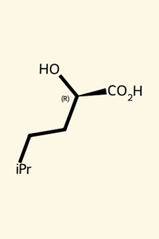 CC(C)CC[C@@H](O)C(=O)O